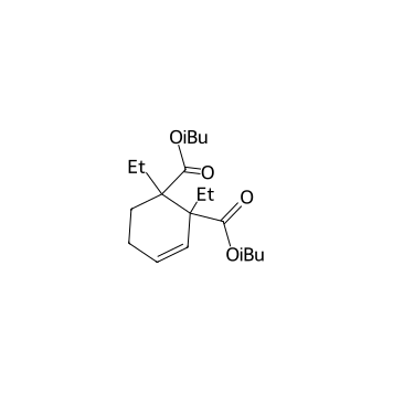 CCC1(C(=O)OCC(C)C)C=CCCC1(CC)C(=O)OCC(C)C